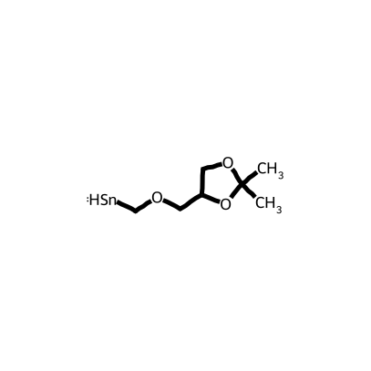 CC1(C)OCC(CO[CH2][SnH])O1